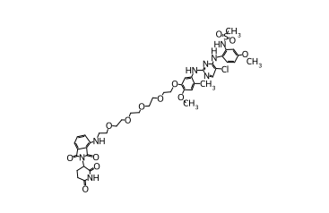 COc1ccc(Nc2nc(Nc3cc(OCCOCCOCCOCCOCCNc4cccc5c4C(=O)N(C4CCC(=O)NC4=O)C5=O)c(OC)cc3C)ncc2Cl)c(NS(C)(=O)=O)c1